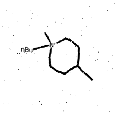 CCCC[N+]1(C)CCC(C)CC1